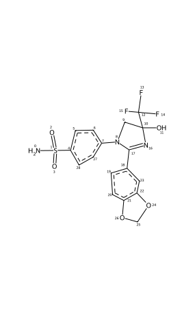 NS(=O)(=O)c1ccc(N2CC(O)(C(F)(F)F)N=C2c2ccc3c(c2)OCO3)cc1